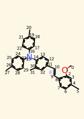 COc1cc(C)ccc1/C=C/c1ccc(N(c2ccc(C)cc2)c2ccc(C)cc2)c(C)c1